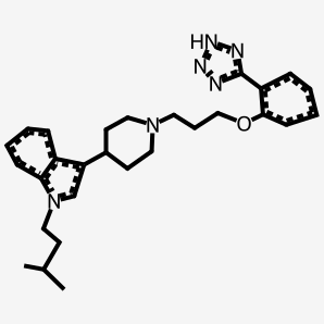 CC(C)CCn1cc(C2CCN(CCCOc3ccccc3-c3nn[nH]n3)CC2)c2ccccc21